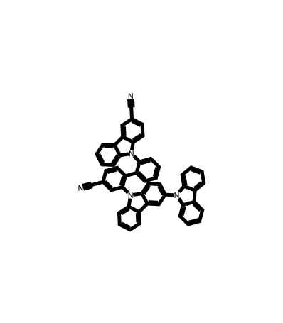 N#Cc1ccc(-c2ccccc2-n2c3ccccc3c3cc(C#N)ccc32)c(-n2c3ccccc3c3cc(-n4c5ccccc5c5ccccc54)ccc32)c1